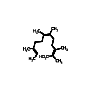 CC=C(C)CCC(C)=C(C)CCC(C)=C(C)C(=O)O